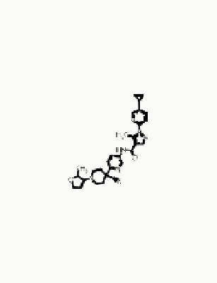 Cc1c(C(=O)Nc2ccc(C3(C#N)CCN(C4CCOC4C)CC3)nc2)cnn1-c1ccc(C2CC2)cn1